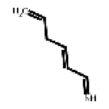 C=CCC=CC=N